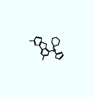 Cc1ccc2c(c1)-c1cc(C)c[c]([Zr]([C]3=CC=CC3)=[C]3CCCCC3)c1C2